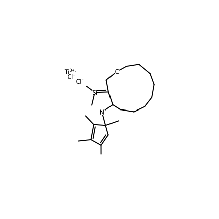 CC1=CC(C)([N-]C2CCCCCCCCCCC2=[Si](C)C)C(C)=C1C.[Cl-].[Cl-].[Ti+3]